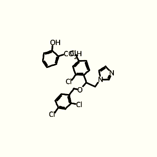 Clc1ccc(COC(Cn2ccnc2)c2ccc(Cl)cc2Cl)c(Cl)c1.O=C(O)c1ccccc1O